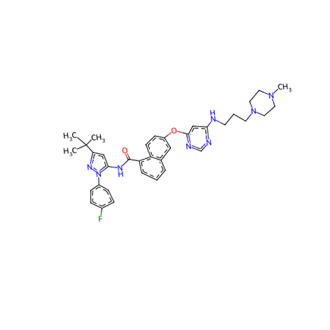 CN1CCN(CCCNc2cc(Oc3ccc4c(C(=O)Nc5cc(C(C)(C)C)nn5-c5ccc(F)cc5)cccc4c3)ncn2)CC1